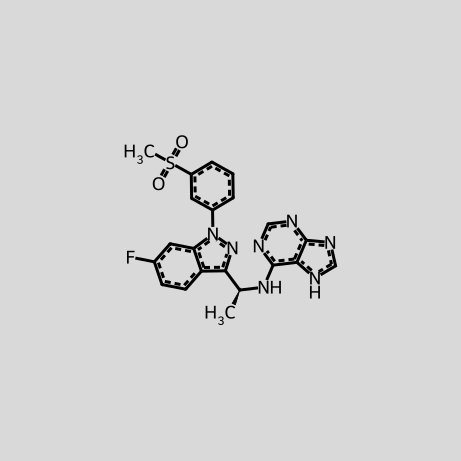 C[C@H](Nc1ncnc2nc[nH]c12)c1nn(-c2cccc(S(C)(=O)=O)c2)c2cc(F)ccc12